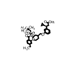 CCc1ccc(C(=O)NS(=O)(=O)CC(C)(C)C)c(N2CCC(COc3cccc(C(CC(=O)O)C4CC4)c3)CC2)c1